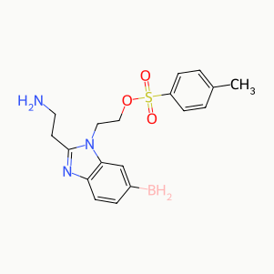 Bc1ccc2nc(CCN)n(CCOS(=O)(=O)c3ccc(C)cc3)c2c1